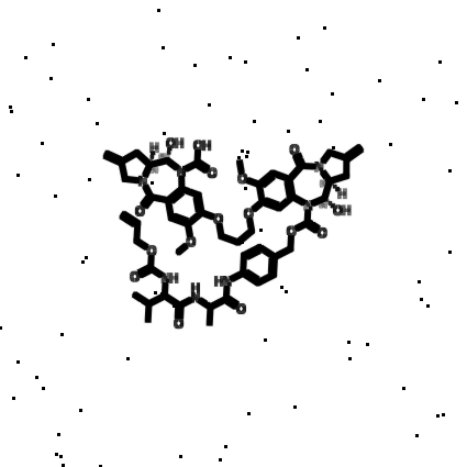 C=CCOC(=O)NC(C(=O)NC(C)C(=O)Nc1ccc(COC(=O)N2c3cc(OCCCOc4cc5c(cc4OC)C(=O)N4CC(=C)C[C@H]4[C@H](O)N5C(=O)O)c(OC)cc3C(=O)N3CC(=C)C[C@H]3[C@@H]2O)cc1)C(C)C